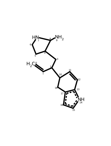 C=CC(CC1CCNC1N)C1C=Cc2[nH]ccc2C1